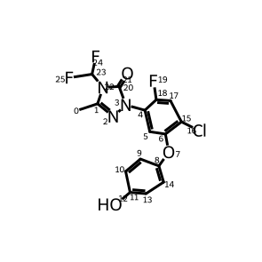 Cc1nn(-c2cc(Oc3ccc(O)cc3)c(Cl)cc2F)c(=O)n1C(F)F